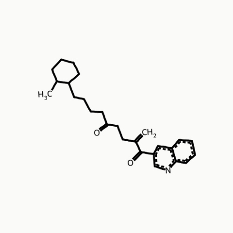 C=C(CCC(=O)CCCCC1CCCCC1C)C(=O)c1cnc2ccccc2c1